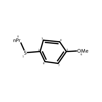 [CH2]CCSc1ccc(OC)cc1